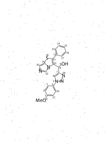 COc1ccc(-n2cc(C(O)c3c(-c4ccccc4)sc4cncn34)nn2)cc1